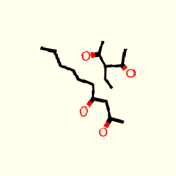 CCC(C(C)=O)C(C)=O.CCCCCCC(=O)CC(C)=O